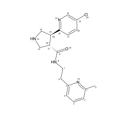 Cc1cccc(CCNC(=O)[C@@H]2CNC[C@H]2c2ccc(Cl)cn2)n1